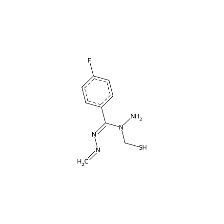 C=N/N=C(/c1ccc(F)cc1)N(N)CS